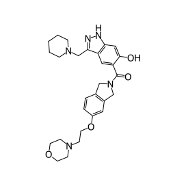 O=C(c1cc2c(CN3CCCCC3)n[nH]c2cc1O)N1Cc2ccc(OCCN3CCOCC3)cc2C1